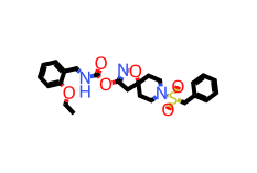 CCOc1ccccc1CNC(=O)OC1=NOC2(CCN(S(=O)(=O)Cc3ccccc3)CC2)C1